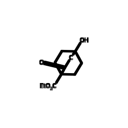 CCOC(=O)C12CCC(O)(CC1)CC2=O